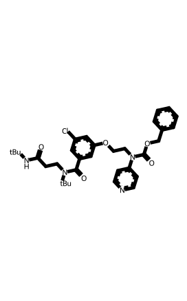 CC(C)(C)NC(=O)CCN(C(=O)c1cc(Cl)cc(OCCN(C(=O)OCc2ccccc2)c2ccncc2)c1)C(C)(C)C